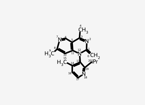 C=C1N=C(C)c2cnc(C)cc2N1c1c(C)ccnc1C(C)C